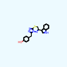 Oc1ccc(Cc2nnc3n2N=C(c2c[nH]c4ccccc24)CS3)cc1